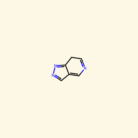 C1=NC=C2C=NN=C2C1